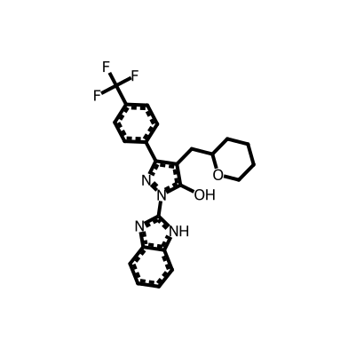 Oc1c(CC2CCCCO2)c(-c2ccc(C(F)(F)F)cc2)nn1-c1nc2ccccc2[nH]1